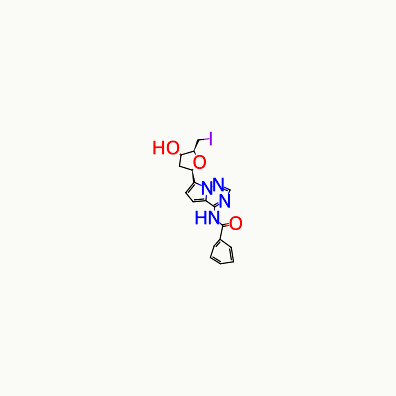 O=C(Nc1ncnn2c([C@H]3C[C@H](O)[C@@H](CI)O3)ccc12)c1ccccc1